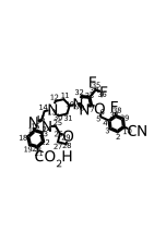 N#Cc1ccc(COc2nn(C3CCN(Cc4nc5ccc(C(=O)O)cc5n4CC4CCO4)CC3)cc2C(F)F)c(F)c1